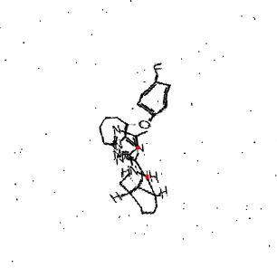 Cc1cc(N2C[C@H]3CC[C@@H](C2)[C@@H]3Nc2nc3n(n2)CCCC[C@@H]3Oc2ccc(F)cc2)ncn1